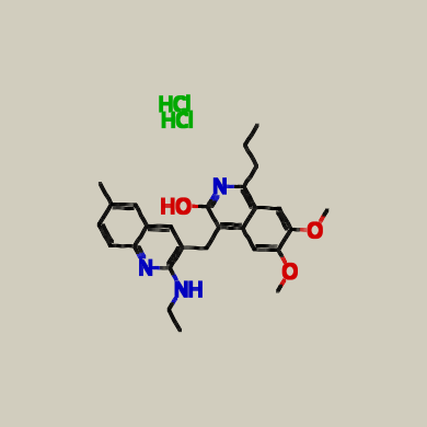 CCCc1nc(O)c(Cc2cc3cc(C)ccc3nc2NCC)c2cc(OC)c(OC)cc12.Cl.Cl